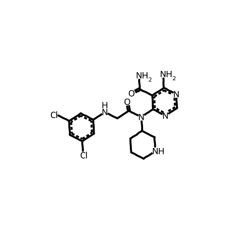 NC(=O)c1c(N)ncnc1N(C(=O)CNc1cc(Cl)cc(Cl)c1)C1CCCNC1